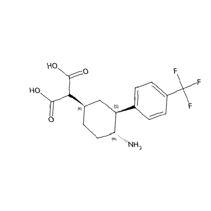 N[C@@H]1CC[C@@H](C(C(=O)O)C(=O)O)C[C@H]1c1ccc(C(F)(F)F)cc1